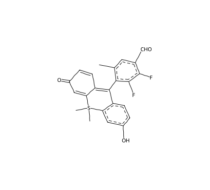 Cc1cc(C=O)c(F)c(F)c1C1=C2C=CC(=O)C=C2S(C)(C)c2cc(O)ccc21